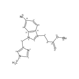 Cn1cnc(Cn2cc(CCC(=O)OC(C)(C)C)c3ccc(C#N)cc32)c1